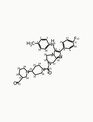 Cc1ccc(Nc2c(-c3ccc(F)cc3)nc3n2CCN(C(=O)N2CCC(N4CCCC(C=O)C4)CC2)C3)cc1